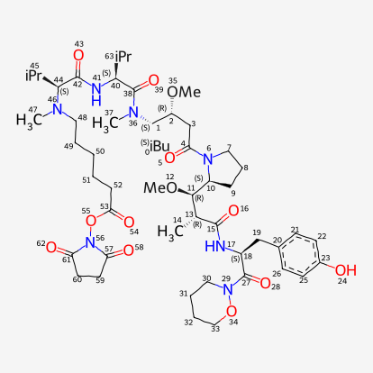 CC[C@H](C)[C@@H]([C@@H](CC(=O)N1CCC[C@H]1[C@H](OC)[C@@H](C)C(=O)N[C@@H](Cc1ccc(O)cc1)C(=O)N1CCCCO1)OC)N(C)C(=O)[C@@H](NC(=O)[C@H](C(C)C)N(C)CCCCCC(=O)ON1C(=O)CCC1=O)C(C)C